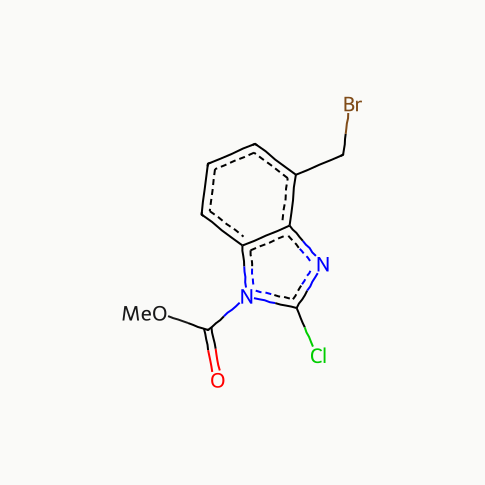 COC(=O)n1c(Cl)nc2c(CBr)cccc21